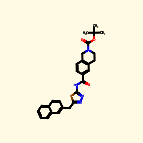 CC(C)(C)OC(=O)N1CCc2cc(C(=O)Nc3nnc(Cc4ccc5ccccc5c4)s3)ccc2C1